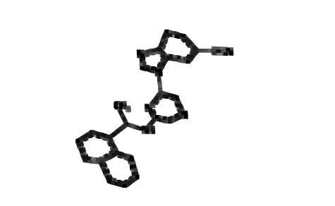 CC(Nc1cncc(-n2cnc3ccc(C#N)cc32)n1)c1cccc2ccccc12